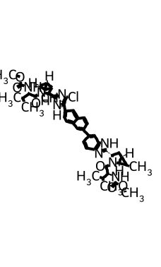 COC(=O)N[C@H](C(=O)N1[C@H](c2nc(Cl)c(-c3ccc4cc(-c5ccc6nc([C@@H]7C[C@H]8[C@@H](C)[C@H]8N7C(=O)[C@@H](NC(=O)OC)C(C)C)[nH]c6c5)ccc4c3)[nH]2)C2[C@@H]3[C@H]1[C@]23C)C(C)C